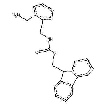 NCc1ccccc1CNC(=O)OCC1c2ccccc2-c2ccccc21